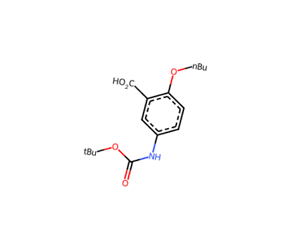 CCCCOc1ccc(NC(=O)OC(C)(C)C)cc1C(=O)O